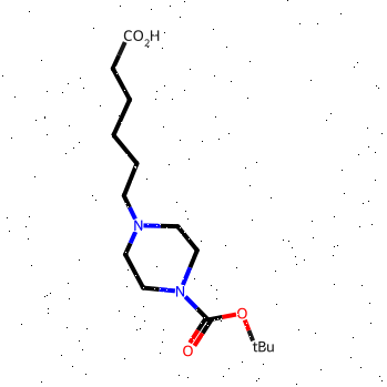 CC(C)(C)OC(=O)N1CCN(CCCCCC(=O)O)CC1